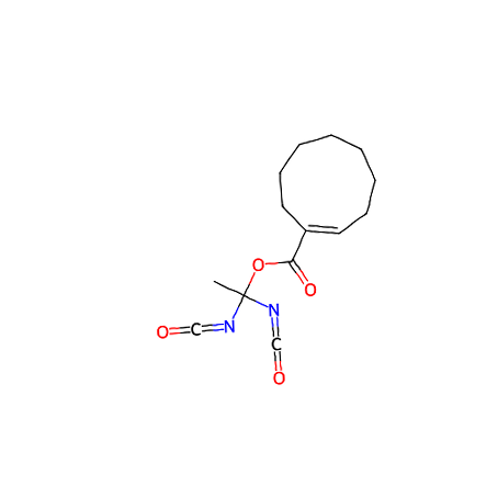 CC(N=C=O)(N=C=O)OC(=O)C1=CCCCCCCC1